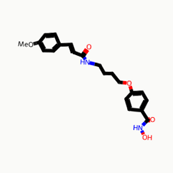 COc1ccc(/C=C/C(=O)NCCCCOc2ccc(C(=O)NO)cc2)cc1